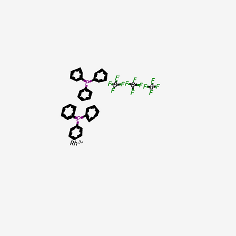 F[B-](F)(F)F.F[B-](F)(F)F.F[B-](F)(F)F.[Rh+3].c1ccc(P(c2ccccc2)c2ccccc2)cc1.c1ccc(P(c2ccccc2)c2ccccc2)cc1